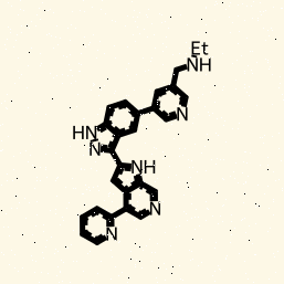 CCNCc1cncc(-c2ccc3[nH]nc(-c4cc5c(-c6ccccn6)cncc5[nH]4)c3c2)c1